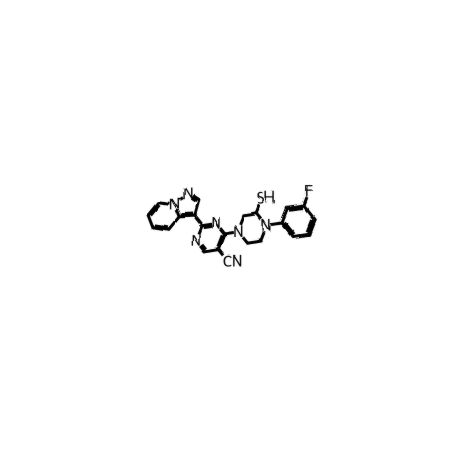 N#Cc1cnc(-c2cnn3ccccc23)nc1N1CCN(c2cccc(F)c2)C(S)C1